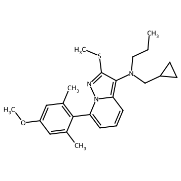 CCCN(CC1CC1)c1c(SC)nn2c(-c3c(C)cc(OC)cc3C)cccc12